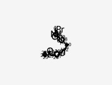 CC(C)c1noc(N2CCC([C@H]3CC3CCOc3ccc(CC(=O)N4CCC4)cc3)CC2)n1